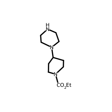 CCOC(=O)N1CCC(N2CCNCC2)CC1